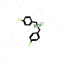 Fc1ccc([CH2][Sn+2][CH2]c2ccc(F)cc2)cc1.[Cl-].[Cl-]